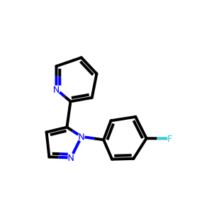 Fc1ccc(-n2nccc2-c2ccccn2)cc1